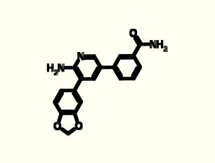 NC(=O)c1cccc(-c2cnc(N)c(-c3ccc4c(c3)OCO4)c2)c1